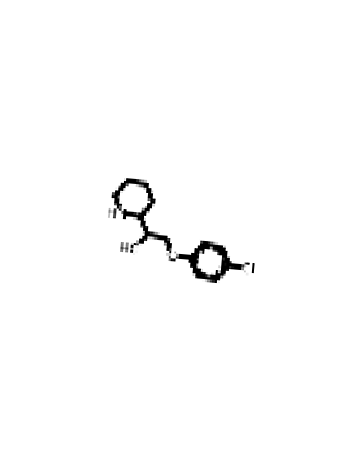 OC(COc1ccc(Cl)cc1)C1CCCCN1